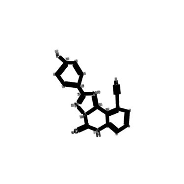 N#Cc1cccc2[nH]c(=O)n3nc(-c4ccc(F)cc4)nc3c12